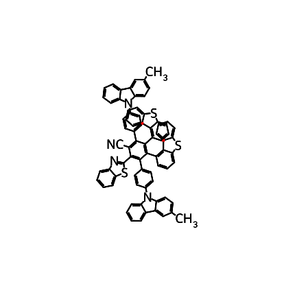 Cc1ccc2c(c1)c1ccccc1n2-c1ccc(-c2c(C#N)c(-c3nc4ccccc4s3)c(-c3ccc(-n4c5ccccc5c5cc(C)ccc54)cc3)c(-c3cccc4sc5ccccc5c34)c2-c2cccc3sc4ccccc4c23)cc1